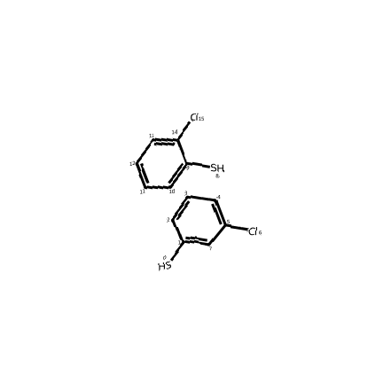 Sc1cccc(Cl)c1.Sc1ccccc1Cl